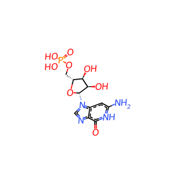 Nc1cc2c(ncn2[C@@H]2O[C@H](COP(=O)(O)O)[C@@H](O)[C@H]2O)c(=O)[nH]1